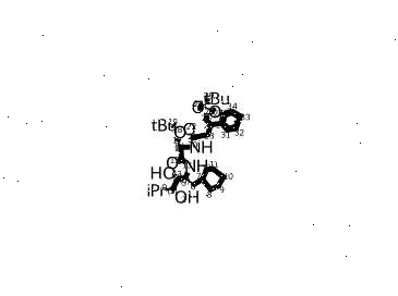 CC(C)[C@H](O)[C@H](O)[C@H](CC1CCCCC1)NC(=O)[C@H](COC(C)(C)C)NC(=O)CC(CS(=O)(=O)C(C)(C)C)c1ccccc1